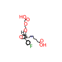 O=C(O)CCC/C=C\C[C@H]1[C@H](COCCOCC(=O)O)[C@@H]2C[C@@]1(c1ccc(F)cc1)CO2